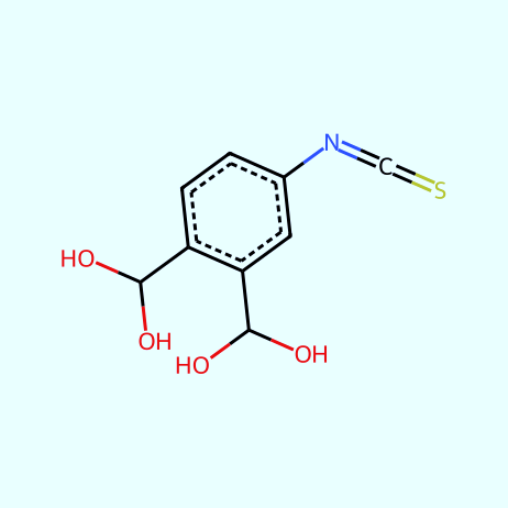 OC(O)c1ccc(N=C=S)cc1C(O)O